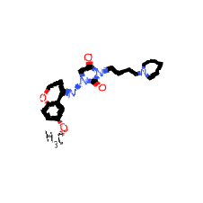 COc1ccc2c(c1)/C(=N/N1CC(=O)N(CCCCN3CCCCC3)C1=O)CCO2